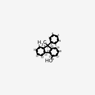 CC1(c2ccccc2)c2ccccc2-c2c(O)cccc21